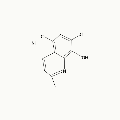 Cc1ccc2c(Cl)cc(Cl)c(O)c2n1.[Ni]